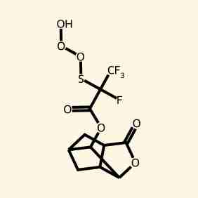 O=C1OC2C3CC(CC13)C2OC(=O)C(F)(SOOO)C(F)(F)F